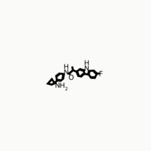 CC(C(=O)Nc1ccc(C2(N)CCC2)cc1)c1ccc2c(c1)[nH]c1cc(F)ccc12